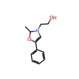 CC1OC(c2ccccc2)=CN1CCO